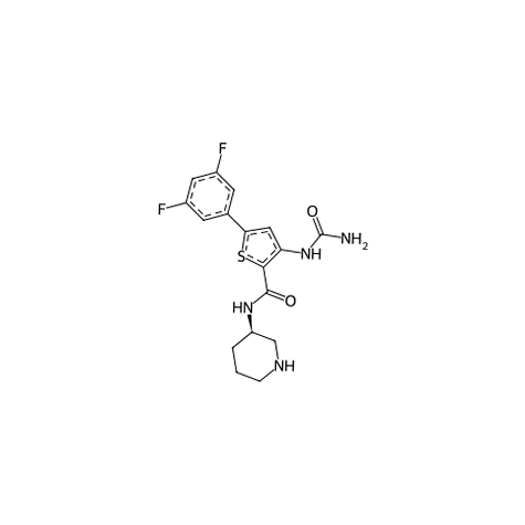 NC(=O)Nc1cc(-c2cc(F)cc(F)c2)sc1C(=O)N[C@@H]1CCCNC1